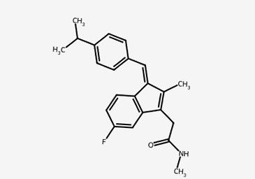 CNC(=O)CC1=C(C)/C(=C/c2ccc(C(C)C)cc2)c2ccc(F)cc21